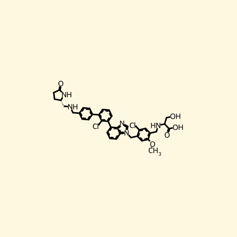 COc1cc(Cn2cnc3c(-c4cccc(-c5ccc(CNC[C@@H]6CCC(=O)N6)cc5)c4Cl)cccc32)c(Cl)cc1CNC(CO)C(=O)O